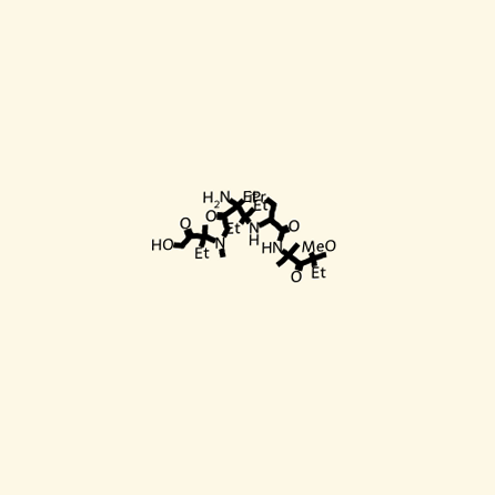 CCC(C)(OC)C(=O)C(C)(C)NC(=O)C(CC(C)C)NC(CC)(CC)C(N)(CC)C(=O)CN(C)C(C)(CC)C(=O)CO